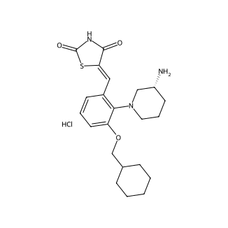 Cl.N[C@@H]1CCCN(c2c(C=C3SC(=O)NC3=O)cccc2OCC2CCCCC2)C1